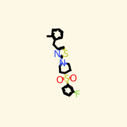 Cc1ccccc1Cc1csc(N2CCC(S(=O)(=O)c3cccc(F)c3)CC2)n1